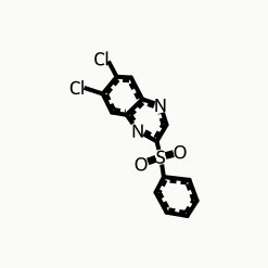 O=S(=O)(c1ccccc1)c1cnc2cc(Cl)c(Cl)cc2n1